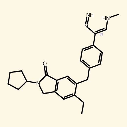 CCc1cc2c(cc1Cc1ccc(/C(=C/NC)N=N)cc1)C(=O)N(C1CCCC1)C2